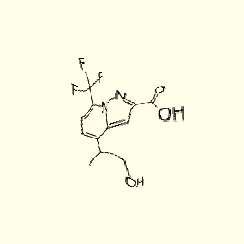 CC(CO)c1ccc(C(F)(F)F)n2nc(C(=O)O)cc12